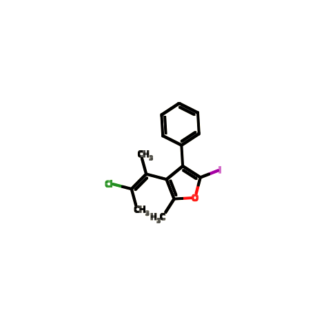 C/C(Cl)=C(/C)c1c(C)oc(I)c1-c1ccccc1